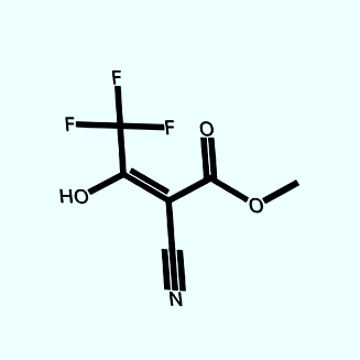 COC(=O)/C(C#N)=C(/O)C(F)(F)F